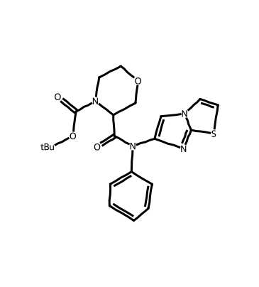 CC(C)(C)OC(=O)N1CCOCC1C(=O)N(c1ccccc1)c1cn2ccsc2n1